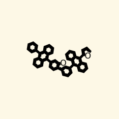 c1ccc(-c2c3ccccc3c(-c3ccc4c(c3)oc3c(-c5c6ccccc6c(-c6ccco6)c6ccccc56)cccc34)c3ccccc23)cc1